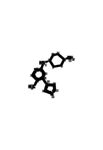 Cc1cnc(N[C@H]2CC[C@@H](N)CC2)cc1-n1ccnc1